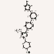 Cc1nn(C2CCC(O)CC2)cc1-c1cnc(-c2cccc(-c3cn[nH]c3)c2)nc1